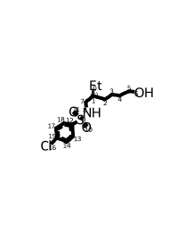 CC[C@@H](CCCCO)CNS(=O)(=O)c1ccc(Cl)cc1